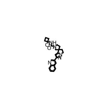 CC1(NC(=O)N2CCC3(CCn4nc(-c5cnc6ccccc6c5)cc43)C2)CCC1